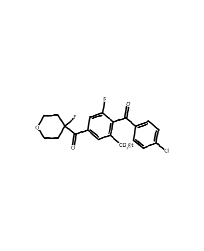 CCOC(=O)c1cc(C(=O)C2(F)CCOCC2)cc(F)c1C(=O)c1ccc(Cl)cc1